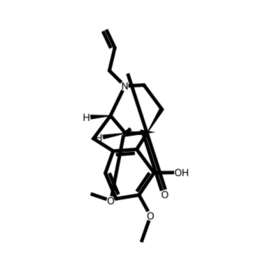 C=CCN1CC[C@@]23CC(=O)C(OC)C[C@@H]2[C@@H]1Cc1ccc(OC)c(O)c13